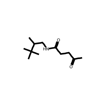 CC(=O)CCC(=O)NCC(C)C(C)(C)C